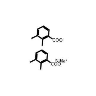 Cc1cccc(C(=O)[O-])c1C.Cc1cccc(C(=O)[O-])c1C.[Na+].[Na+]